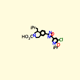 CC(C)CC1CN(C(=O)O)CCc2cc(-c3noc(-c4cnc(OC(C)C)c(Cl)c4)n3)ccc21